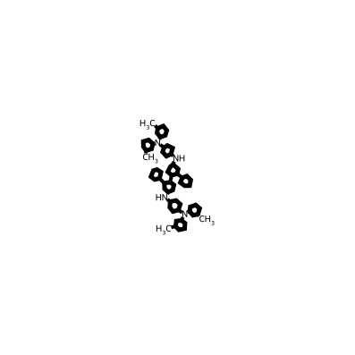 Cc1cccc(N(c2ccc(Nc3ccc(-c4ccc(Nc5ccc(N(c6cccc(C)c6)c6cccc(C)c6)cc5)cc4-c4ccccc4)c(-c4ccccc4)c3)cc2)c2cccc(C)c2)c1